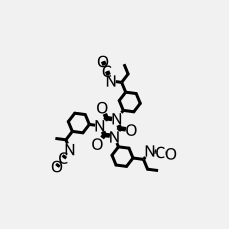 CCC(N=C=O)C1CCCC(n2c(=O)n(C3CCCC(C(C)N=C=O)C3)c(=O)n(C3CCCC(C(CC)N=C=O)C3)c2=O)C1